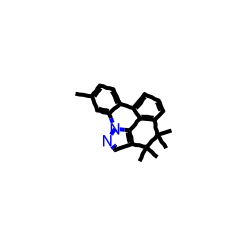 Cc1ccc2c3cccc4c3c3c(cnn3c2c1)C(C)(C)C4(C)C